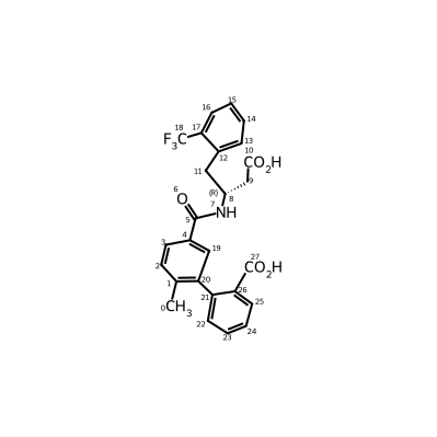 Cc1ccc(C(=O)N[C@@H](CC(=O)O)Cc2ccccc2C(F)(F)F)cc1-c1ccccc1C(=O)O